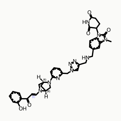 Cn1c(=O)n(C2CCC(=O)NC2=O)c2ccc(CNCc3cn(Cc4cccc(N5C[C@H]6C[C@@H]5CN6/C=C/C(=O)c5ccccc5O)n4)nn3)cc21